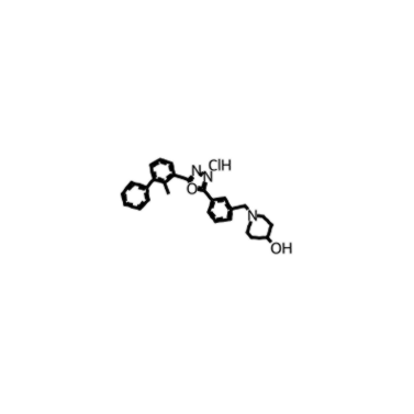 Cc1c(-c2ccccc2)cccc1-c1nnc(-c2cccc(CN3CCC(O)CC3)c2)o1.Cl